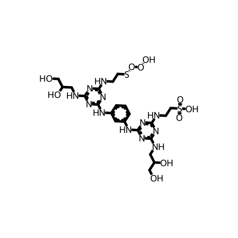 O=S(=O)(O)CCNc1nc(NCC(O)CO)nc(Nc2cccc(Nc3nc(NCCSOOO)nc(NCC(O)CO)n3)c2)n1